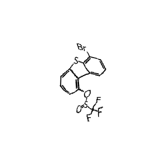 O=S(Oc1cccc2sc3c(Br)cccc3c12)C(F)(F)F